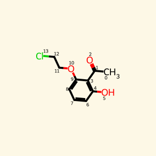 CC(=O)c1c(O)cccc1OCCCl